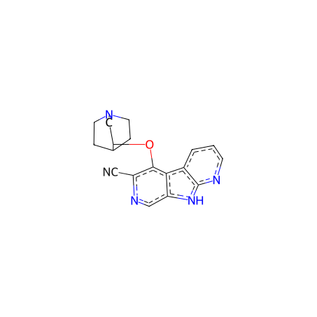 N#Cc1ncc2[nH]c3ncccc3c2c1OC1CN2CCC1CC2